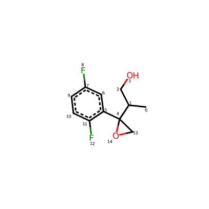 CC(CO)C1(c2cc(F)ccc2F)CO1